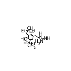 CCC(C)(CC)Cc1cc(CCNC(=N)N)cc(C(C)(CC)CC)c1O